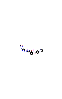 Cn1cc(-c2cccc(NC(=O)c3ccc(N4CCCCC4)cc3)c2CO)cc(Nc2ccc(C(=O)N3CCOCC3)cn2)c1=O